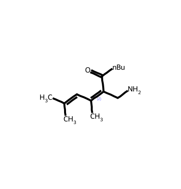 CCCCC(=O)/C(CN)=C(/C)C=C(C)C